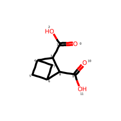 O=C(O)C1C2CC(C2)C1C(=O)O